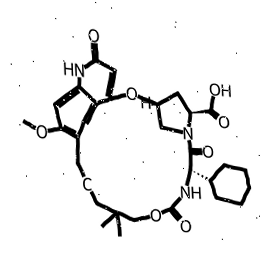 COc1cc2[nH]c(=O)cc3c2cc1CCCC(C)(C)COC(=O)N[C@@H](C1CCCCC1)C(=O)N1C[C@@H](C[C@H]1C(=O)O)O3